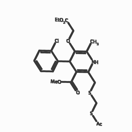 CCOC(=O)COC1=C(C)NC(CSCSC(C)=O)=C(C(=O)OC)C1c1ccccc1Cl